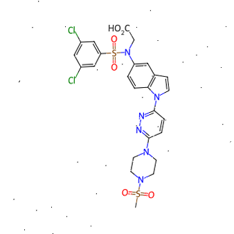 CS(=O)(=O)N1CCN(c2ccc(-n3ccc4cc(N(CC(=O)O)S(=O)(=O)c5cc(Cl)cc(Cl)c5)ccc43)nn2)CC1